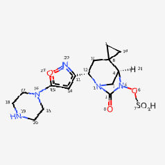 O=C1N2C[C@H](N1OS(=O)(=O)O)C1(CC1)C[C@H]2c1cc(N2CCNCC2)on1